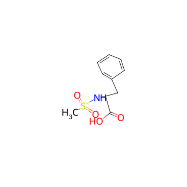 CS(=O)(=O)NC(Cc1ccccc1)C(=O)O